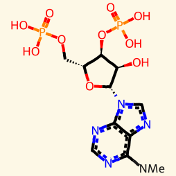 CNc1ncnc2c1ncn2[C@@H]1O[C@H](COP(=O)(O)O)[C@@H](OP(=O)(O)O)[C@H]1O